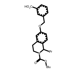 CC(C)C1c2ccc(OCc3cccc(C(=O)O)c3)cc2CCN1C(=O)OC(C)(C)C